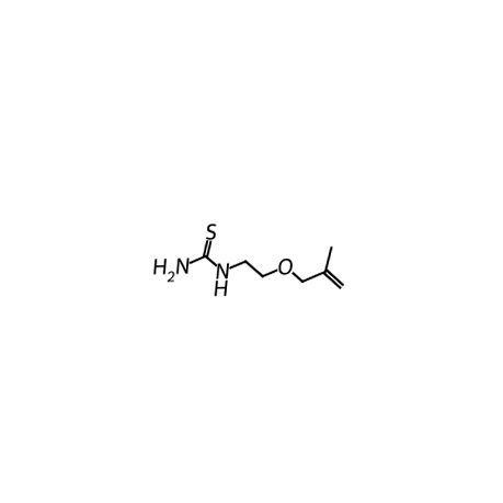 C=C(C)COCCNC(N)=S